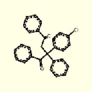 O=C(CC(C(=O)c1ccccc1)(c1ccccc1)c1ccc(Cl)cc1)c1ccccc1